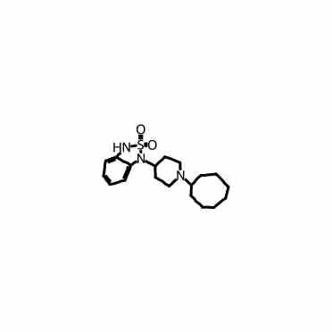 O=S1(=O)Nc2ccccc2N1C1CCN(C2CCCCCCC2)CC1